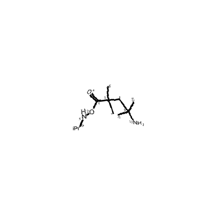 CC(C)NOC(=O)C(C)(C)CC(C)(C)N